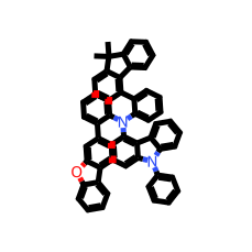 CC1(C)c2ccccc2-c2c(-c3ccccc3N(c3ccccc3-c3ccc4c(c3)oc3ccccc34)c3cccc4c3c3ccccc3n4-c3ccccc3)cccc21